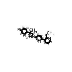 CCc1ncccc1-c1ccc(NCC(C)(C)c2ccc(F)cc2)nn1